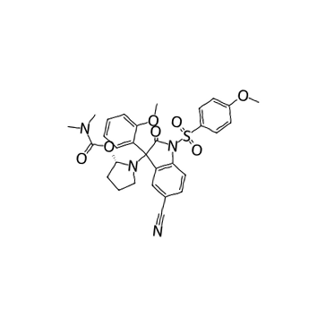 COc1ccc(S(=O)(=O)N2C(=O)C(c3ccccc3OC)(N3CCC[C@@H]3OC(=O)N(C)C)c3cc(C#N)ccc32)cc1